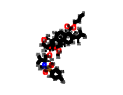 CCCCOC(=O)[C@@H]1[C@@](C)([C@H](C)C(C)C)CC[C@]2(C)[C@H]3CC[C@@H]4[C@@]5(COC[C@]4(C)[C@@H](OC[C@](C)(C(C)C)N(C)S(=O)(=O)c4ccc(C)cc4)[C@H](OC)C5)C3=CC[C@@]12C